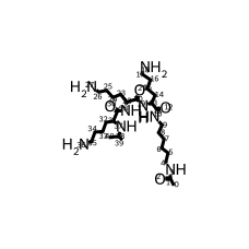 CC(=O)NCCCCCCNC(=O)C(CCCCN)NC(=O)C(CCCCN)NC(=O)C(CCCCN)NC(C)C